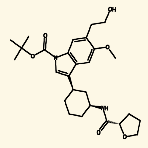 COc1cc2c([C@@H]3CCC[C@H](NC(=O)[C@@H]4CCCO4)C3)cn(C(=O)OC(C)(C)C)c2cc1CCO